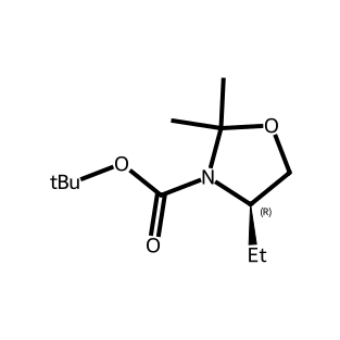 CC[C@@H]1COC(C)(C)N1C(=O)OC(C)(C)C